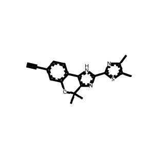 C#Cc1ccc2c(c1)OC(C)(C)c1nc(-c3nc(C)c(C)s3)[nH]c1-2